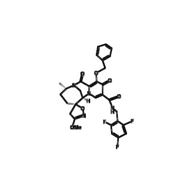 COC1=NO[C@@]2(CC[C@H](C)N3C[C@H]2n2cc(C(=O)NCc4c(F)cc(F)cc4F)c(=O)c(OCc4ccccc4)c2C3=O)C1